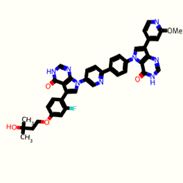 COc1cc(-c2cn(-c3ccc(-c4ccc(-n5cc(-c6ccc(OCCC(C)(C)O)cc6F)c6c(=O)[nH]cnc65)cn4)cc3)c3c(=O)[nH]cnc23)ccn1